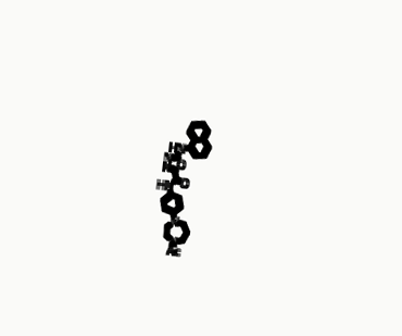 CC(=O)N1CCCN(c2ccc(NC(=O)c3nnc(Nc4cccc5ccccc45)o3)cc2)CC1